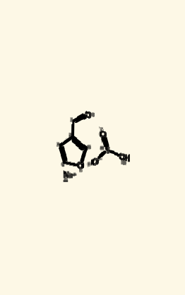 O=Cc1ccoc1.O=S([O-])O.[Na+]